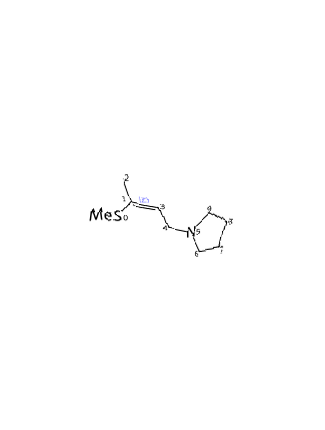 CS/C(C)=C\CN1CCCC1